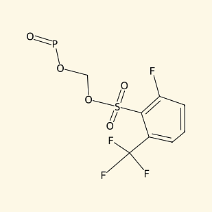 O=POCOS(=O)(=O)c1c(F)cccc1C(F)(F)F